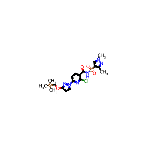 Cc1nn(C)cc1S(=O)(=O)NC(=O)c1ccc(-n2ccc(OCS(C)(C)C)n2)nc1Cl